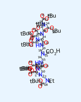 CCN(CCN(CC(=O)OC(C)(C)C)CC(C(=O)NCCN(CCNC(=O)C(CN(CCN(CC(=O)OC(C)(C)C)CC(=O)OC(C)(C)C)CC(=O)OC(C)(C)C)N(CC(=O)OC(C)(C)C)CC(=O)OC(C)(C)C)CC(=O)O)N(CC(=O)OC(C)(C)C)CC(=O)OC(C)(C)C)CC(=O)OC(C)(C)C